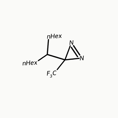 CCCCCCC(CCCCCC)C1(C(F)(F)F)N=N1